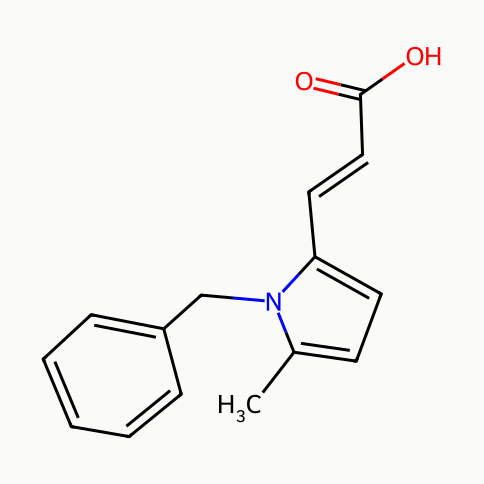 Cc1ccc(/C=C/C(=O)O)n1Cc1ccccc1